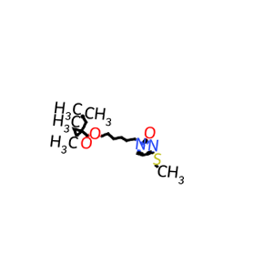 CCSc1ccn(CCCCCCOC(=O)C2(CC(C)(C)C)CC2C)c(=O)n1